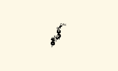 CCc1nc2ccc(C3=CCN([S+]([O-])CCCOC(C)=O)CC3)cn2c1N(C)c1nc(-c2ccc(F)cc2)cs1